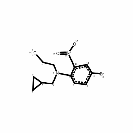 CCCN(CC1CC1)c1ccc(Br)cc1[N+](=O)[O-]